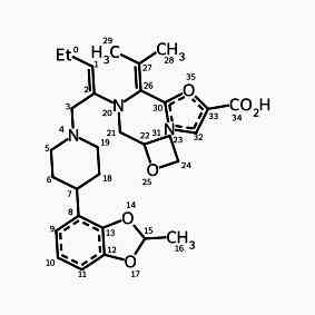 CC/C=C(\CN1CCC(c2cccc3c2OC(C)O3)CC1)N(CC1CCO1)C(=C(C)C)c1ncc(C(=O)O)o1